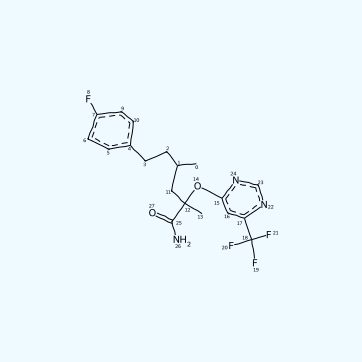 CC(CCc1ccc(F)cc1)CC(C)(Oc1cc(C(F)(F)F)ncn1)C(N)=O